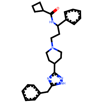 O=C(NC(CCN1CCC(c2n[nH]c(Cc3ccccc3)n2)CC1)c1ccccc1)C1CCC1